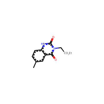 CCOC(=O)Cn1c(=O)[nH]c2ccc(C)cc2c1=O